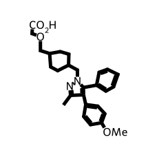 COc1ccc(-c2c(C)nn(CC3CCC(COCC(=O)O)CC3)c2-c2ccccc2)cc1